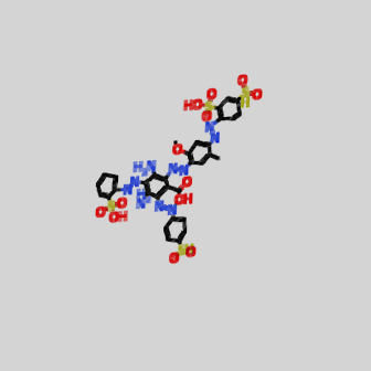 COc1cc(N=Nc2ccc([SH](=O)=O)cc2S(=O)(=O)O)c(C)cc1N=Nc1c(N)c(N=Nc2ccccc2S(=O)(=O)O)c(N)c(N=Nc2ccc([SH](=O)=O)cc2)c1C(=O)O